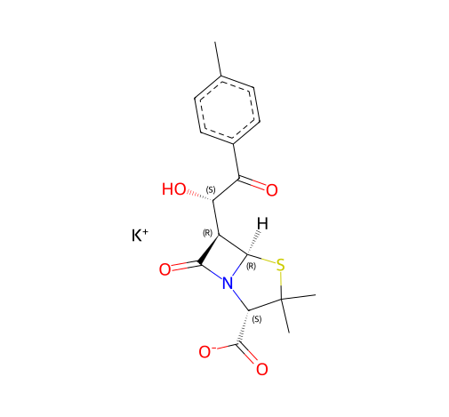 Cc1ccc(C(=O)[C@@H](O)[C@@H]2C(=O)N3[C@@H]2SC(C)(C)[C@@H]3C(=O)[O-])cc1.[K+]